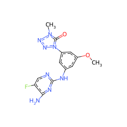 COc1cc(Nc2ncc(F)c(N)n2)cc(-n2nnn(C)c2=O)c1